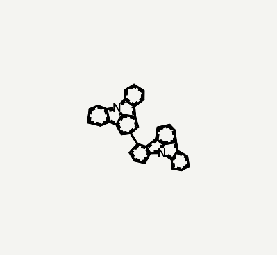 c1ccc2c(c1)c1cc(-c3cccc4c3c3cccc5c6ccccc6n4c53)cc3c4ccccc4n2c13